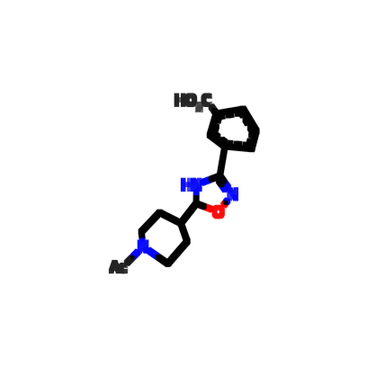 CC(=O)N1CCC(C2NC(c3cccc(C(=O)O)c3)=NO2)CC1